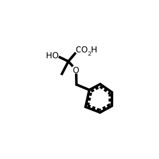 CC(O)(OCc1ccccc1)C(=O)O